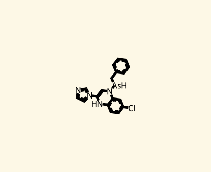 Clc1ccc2c(c1)N([AsH]Cc1ccccc1)C=C(n1ccnc1)N2